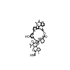 CCn1c(-c2cccnc2C(C)C)c2c3cc(ccc31)-c1cc(O)cc(c1)C[C@H](NC(=O)[C@H](C(C)C)N(C)C(=O)[C@H]1CC[C@@H](C)N1C(=O)[C@H]1CN1)C(=O)N1CCC[C@H](N1)C(=O)OCC(C)(C)C2